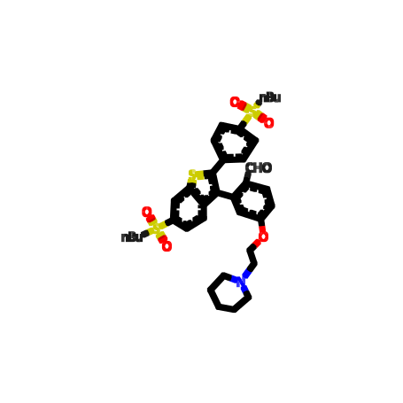 CCCCS(=O)(=O)c1ccc(-c2sc3cc(S(=O)(=O)CCCC)ccc3c2-c2cc(OCCN3CCCCC3)ccc2C=O)cc1